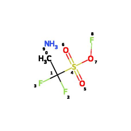 CC(F)(F)S(=O)(=O)OF.N